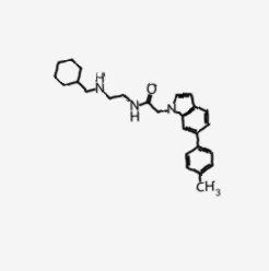 Cc1ccc(-c2ccc3ccn(CC(=O)NCCNCC4CCCCC4)c3c2)cc1